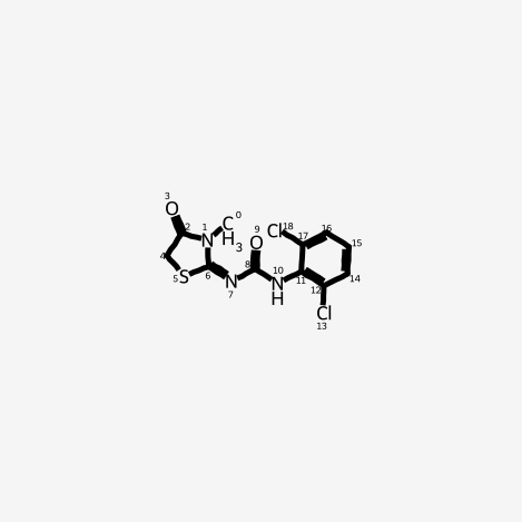 CN1C(=O)CSC1=NC(=O)Nc1c(Cl)cccc1Cl